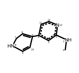 CNc1cc(C2=CCNC=C2)ccn1